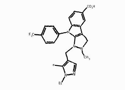 CCn1ncc(CN2c3c(c4cc(C(=O)O)ccc4n3-c3ccc(C(F)(F)F)cc3)CN2C)c1F